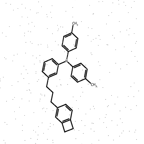 Cc1ccc(N(c2ccc(C)cc2)c2cccc(CCCc3ccc4c(c3)CC4)c2)cc1